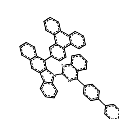 c1ccc(-c2ccc(-c3nc(-n4c5ccccc5c5cc6ccccc6c(-c6ccc7c8ccccc8c8ccccc8c7c6)c54)nc4ccccc34)cc2)cc1